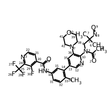 CC(=O)N(CC(C)(C)N=O)c1ncc(-c2cc(NC(=O)c3ccnc(C(F)(F)F)c3F)ccc2C)cc1N1CCOCC1